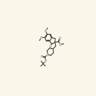 COC(=O)C1(CC2CCN(C(=O)OC(C)(C)C)CC2)Cc2cc(OC)c(OC)cc2C1=O